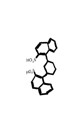 O=S(=O)(O)c1ccc2ccccc2c1C1CCCC(c2c(S(=O)(=O)O)ccc3ccccc23)C1